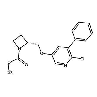 CC(C)(C)OC(=O)N1CC[C@@H]1COc1cnc(Cl)c(-c2ccccc2)c1